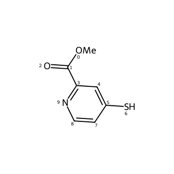 COC(=O)c1cc(S)ccn1